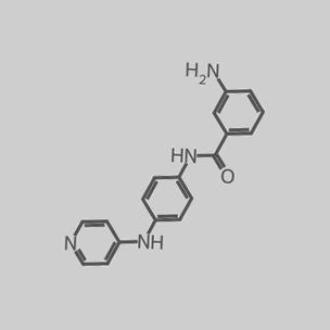 Nc1cccc(C(=O)Nc2ccc(Nc3ccncc3)cc2)c1